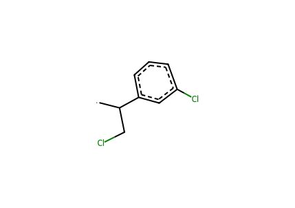 [CH2]C(CCl)c1cccc(Cl)c1